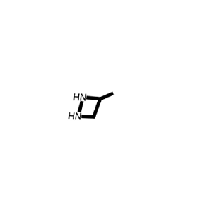 CC1CNN1